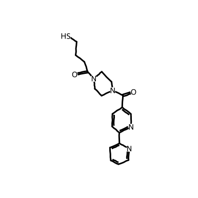 O=C(CCCS)N1CCN(C(=O)c2ccc(-c3ccccn3)nc2)CC1